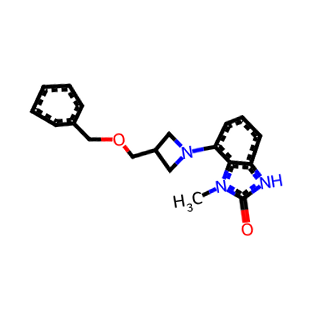 Cn1c(=O)[nH]c2cccc(N3CC(COCc4ccccc4)C3)c21